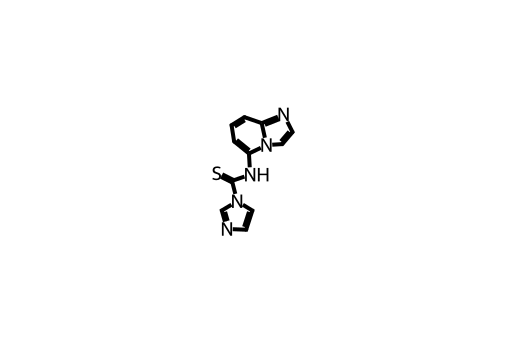 S=C(Nc1cccc2nccn12)n1ccnc1